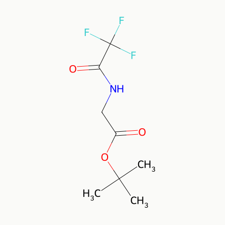 CC(C)(C)OC(=O)CNC(=O)C(F)(F)F